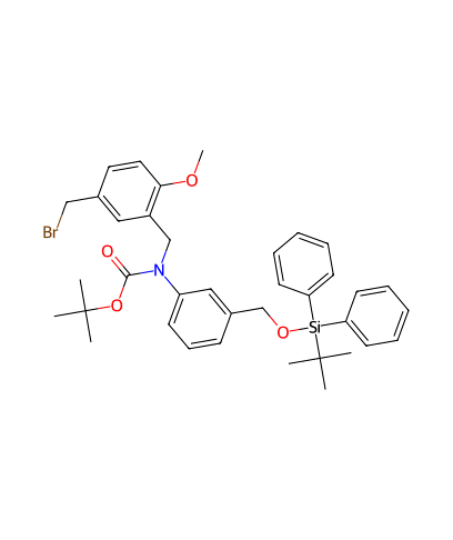 COc1ccc(CBr)cc1CN(C(=O)OC(C)(C)C)c1cccc(CO[Si](c2ccccc2)(c2ccccc2)C(C)(C)C)c1